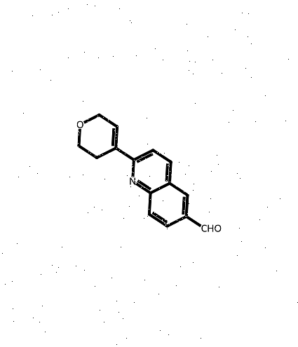 O=Cc1ccc2nc(C3=CCOCC3)ccc2c1